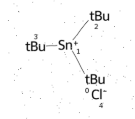 C[C](C)(C)[Sn+]([C](C)(C)C)[C](C)(C)C.[Cl-]